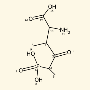 CC(C(=O)C(C)P(=O)(O)O)C(N)C(=O)O